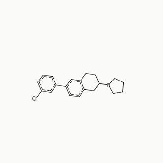 Clc1cccc(-c2ccc3c(c2)CCC(N2CCCC2)C3)c1